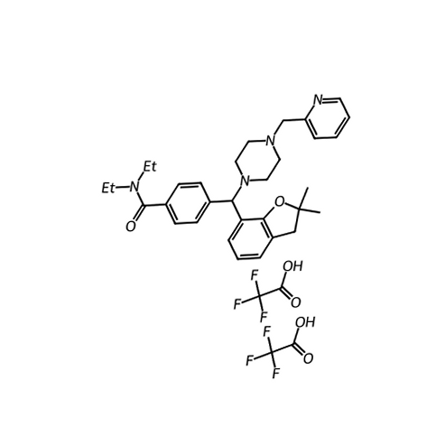 CCN(CC)C(=O)c1ccc(C(c2cccc3c2OC(C)(C)C3)N2CCN(Cc3ccccn3)CC2)cc1.O=C(O)C(F)(F)F.O=C(O)C(F)(F)F